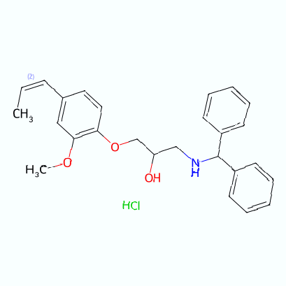 C/C=C\c1ccc(OCC(O)CNC(c2ccccc2)c2ccccc2)c(OC)c1.Cl